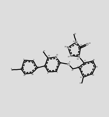 Cc1ccc(-c2ccc(OCc3c(C)cccc3-n3nnn(C)c3=O)nc2C)cc1